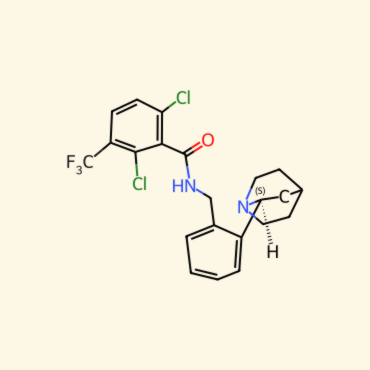 O=C(NCc1ccccc1[C@@H]1CC2CCN1CC2)c1c(Cl)ccc(C(F)(F)F)c1Cl